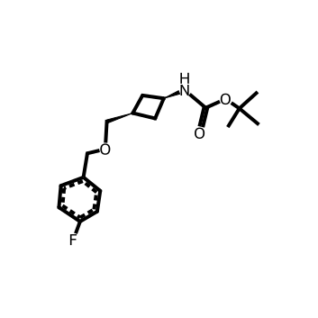 CC(C)(C)OC(=O)N[C@H]1C[C@@H](COCc2ccc(F)cc2)C1